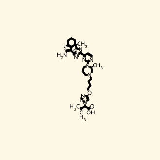 CC(C)C(C(=O)O)n1cc(OCCCCN2CCCN(c3nccc(-c4noc([C@@]5(C)CCCc6sc(N)c(C#N)c65)n4)n3)[C@@H](C)C2)nn1